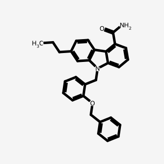 CCCc1c[c]c2c3c(C(N)=O)cccc3n(Cc3ccccc3OCc3ccccc3)c2c1